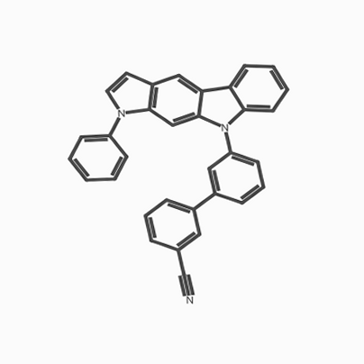 N#Cc1cccc(-c2cccc(-n3c4ccccc4c4cc5ccn(-c6ccccc6)c5cc43)c2)c1